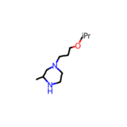 CC1CN(CCCOC(C)C)CCN1